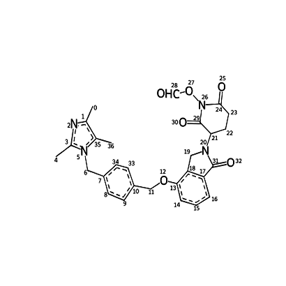 Cc1nc(C)n(Cc2ccc(COc3cccc4c3CN(C3CCC(=O)N(OC=O)C3=O)C4=O)cc2)c1C